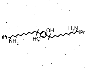 CC(C)C(N)CCCCCCCCCC(C)(C)c1cc(O)c(C(C)(C)CCCCCCCCCC(N)C(C)C)cc1O